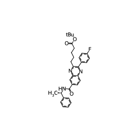 C[C@@H](NC(=O)c1ccc2nc(-c3ccc(F)cc3)c(CCCCC(=O)OC(C)(C)C)nc2c1)c1ccccc1